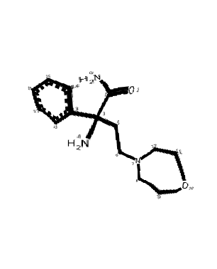 NC(=O)C(N)(CCN1CCOCC1)c1ccccc1